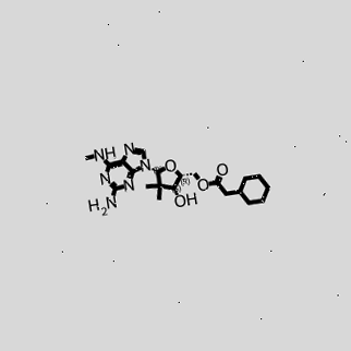 CNc1nc(N)nc2c1ncn2[C@@H]1O[C@H](COC(=O)CC2CCCCC2)[C@@H](O)C1(C)C